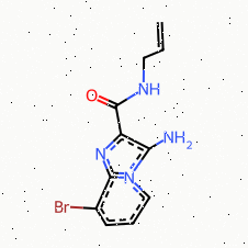 C=CCNC(=O)c1nc2c(Br)cccn2c1N